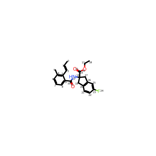 CC=Cc1c(C)cccc1C(=O)NC1(C(=O)OCC)Cc2ccc(F)cc2C1